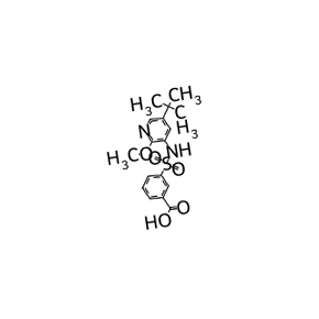 COc1ncc(C(C)(C)C)cc1NS(=O)(=O)c1cccc(C(=O)O)c1